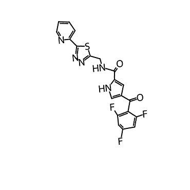 O=C(NCc1nnc(-c2ccccn2)s1)c1cc(C(=O)c2c(F)cc(F)cc2F)c[nH]1